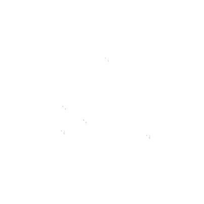 C1=CC(c2nc(-c3ccccc3)nc(-c3cccc(-c4cccc(-n5c6ccccc6c6ccccc65)c4)c3)n2)Cc2c1n(-c1ccccc1)c1ccccc21